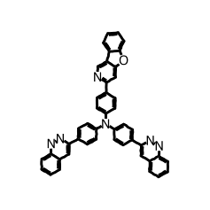 c1ccc2nnc(-c3ccc(N(c4ccc(-c5cc6oc7ccccc7c6cn5)cc4)c4ccc(-c5cc6ccccc6nn5)cc4)cc3)cc2c1